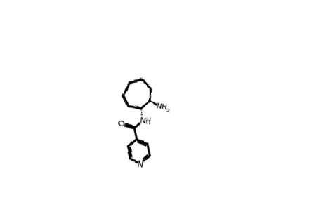 N[C@@H]1CCCCC[C@H]1NC(=O)c1ccncc1